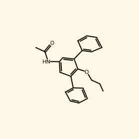 CCCOc1c(-c2ccccc2)cc(NC(C)=O)cc1-c1ccccc1